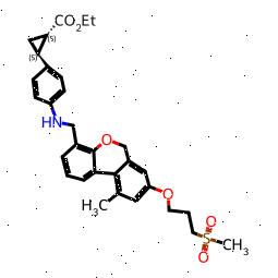 CCOC(=O)[C@H]1C[C@@H]1c1ccc(NCc2cccc3c2OCc2cc(OCCCS(C)(=O)=O)cc(C)c2-3)cc1